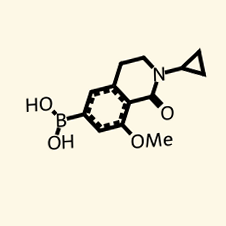 COc1cc(B(O)O)cc2c1C(=O)N(C1CC1)CC2